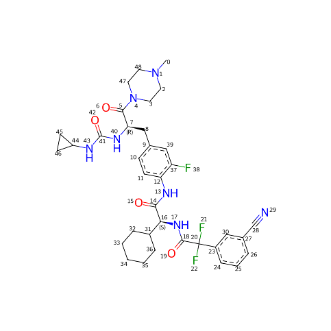 CN1CCN(C(=O)[C@@H](Cc2ccc(NC(=O)[C@@H](NC(=O)C(F)(F)c3cccc(C#N)c3)C3CCCCC3)c(F)c2)NC(=O)NC2CC2)CC1